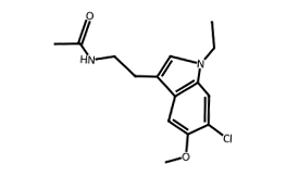 CCn1cc(CCNC(C)=O)c2cc(OC)c(Cl)cc21